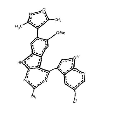 COc1cc2c(cc1-c1c(C)noc1C)[nH]c1nc(C)nc(-c3c[nH]c4ncc(Cl)cc34)c12